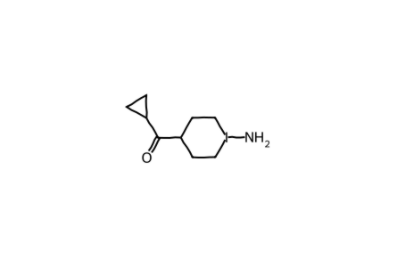 NI1CCC(C(=O)C2CC2)CC1